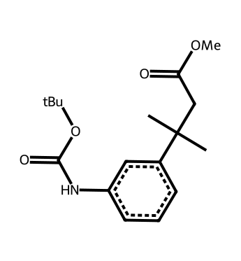 COC(=O)CC(C)(C)c1cccc(NC(=O)OC(C)(C)C)c1